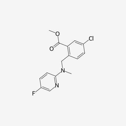 COC(=O)c1cc(Cl)ccc1CN(C)c1ccc(F)cn1